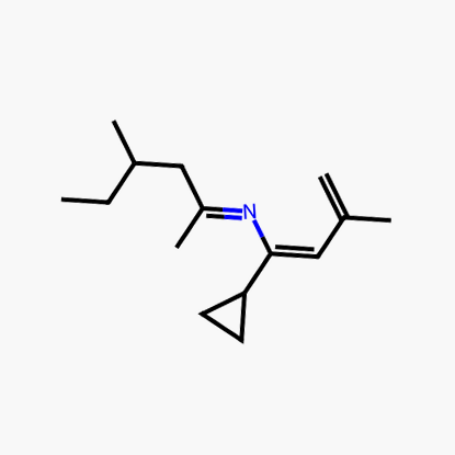 C=C(C)/C=C(\N=C(/C)CC(C)CC)C1CC1